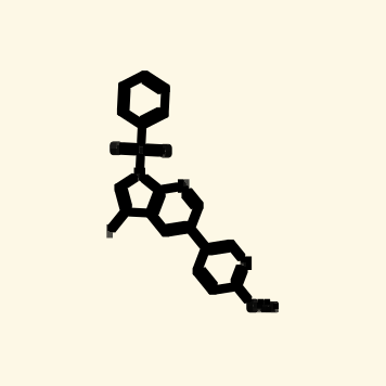 COc1ccc(-c2cnc3c(c2)c(I)cn3S(=O)(=O)c2ccccc2)cn1